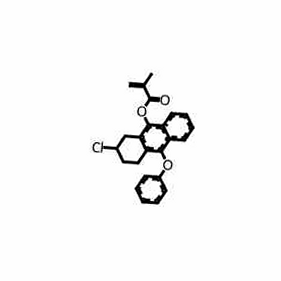 C=C(C)C(=O)Oc1c2c(c(Oc3ccccc3)c3ccccc13)CCC(Cl)C2